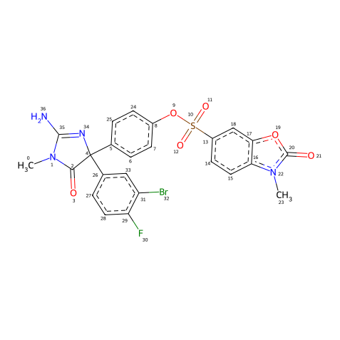 CN1C(=O)C(c2ccc(OS(=O)(=O)c3ccc4c(c3)oc(=O)n4C)cc2)(c2ccc(F)c(Br)c2)N=C1N